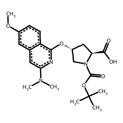 COc1ccc2c(O[C@@H]3C[C@@H](C(=O)O)N(C(=O)OC(C)(C)C)C3)nc(N(C)C)cc2c1